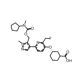 CN(C(=O)OCc1c(-c2ccc(O[C@H]3CCCC(C(=O)O)C3)c(CF)n2)cnn1C)C1CCCC1